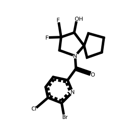 O=C(c1ccc(Cl)c(Br)n1)N1CC(F)(F)C(O)C12CCCC2